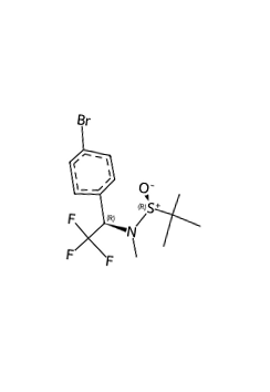 CN([C@H](c1ccc(Br)cc1)C(F)(F)F)[S@@+]([O-])C(C)(C)C